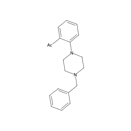 CC(=O)c1ccccc1N1CCN(Cc2ccccc2)CC1